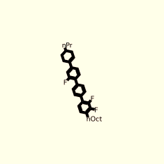 CCCCCCCCc1ccc(-c2ccc(-c3ccc(C4=CCC(CCC)CC4)cc3F)cc2)c(F)c1F